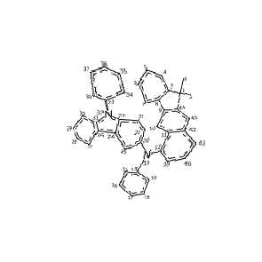 CC1(C)c2ccccc2-c2cc3c(N(c4ccccc4)c4ccc5c(c4)c4ccccc4n5-c4ccccc4)cccc3cc21